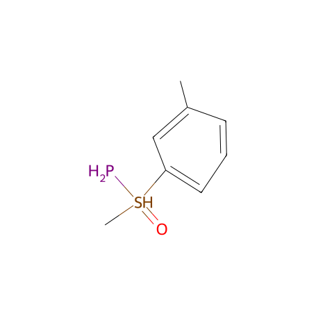 Cc1cccc([SH](C)(=O)P)c1